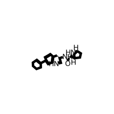 N=C[C@H](Cc1ccc(C2=CCCCC2)cc1)NC(=O)[C@H]1N[C@@H]2CC[C@H]1C2